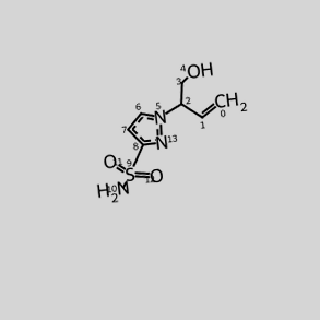 C=CC(CO)n1ccc(S(N)(=O)=O)n1